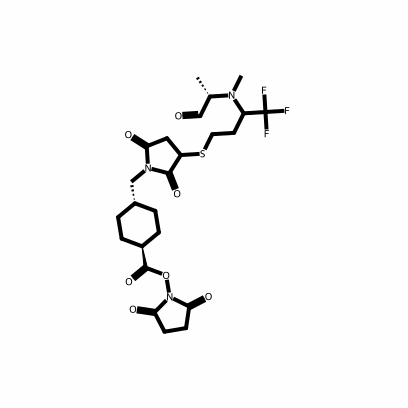 C[C@@H](C=O)N(C)C(CCSC1CC(=O)N(C[C@H]2CC[C@H](C(=O)ON3C(=O)CCC3=O)CC2)C1=O)C(F)(F)F